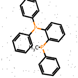 CP(c1ccccc1)c1ccccc1P(c1ccccc1)c1ccccc1